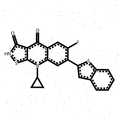 O=c1[nH]sc2c1c(=O)c1cc(F)c(-c3cc4ccccc4s3)cc1n2C1CC1